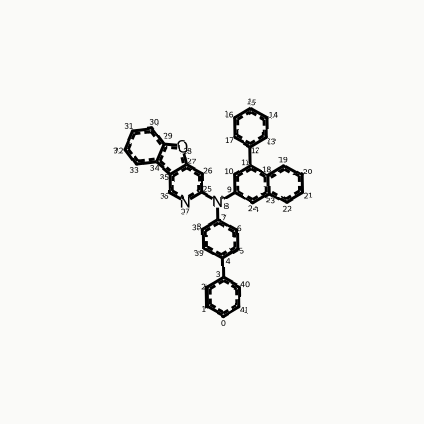 c1ccc(-c2ccc(N(c3cc(-c4ccccc4)c4ccccc4c3)c3cc4oc5ccccc5c4cn3)cc2)cc1